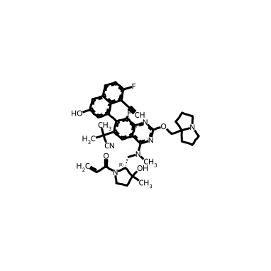 C#Cc1c(F)ccc2cc(O)cc(-c3c(C(C)(C)C#N)cc4c(N(C)C[C@H]5N(C(=O)C=C)CCC5(C)O)nc(OCC56CCCN5CCC6)nc4c3F)c12